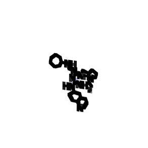 CCN1CCCC1CNC(=N/CNC1CCCCCC1)/N=C(\N)Nc1ccc2ncccc2c1